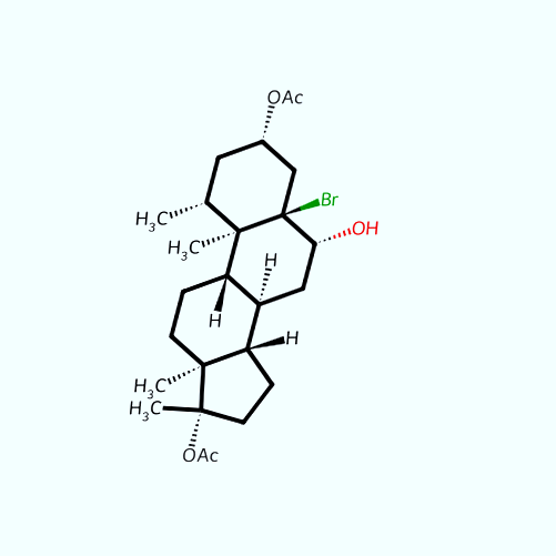 CC(=O)O[C@H]1C[C@@H](C)[C@]2(C)[C@H]3CC[C@@]4(C)[C@@H](CC[C@]4(C)OC(C)=O)[C@@H]3C[C@@H](O)[C@@]2(Br)C1